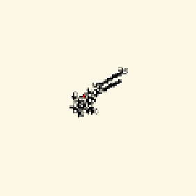 CCCCCCCCSCC(CO[C@@H]1O[C@H](COC(C)=O)[C@@H](O[C@@H]2O[C@H](COC(C)=O)[C@H](OC(C)=O)[C@H](OC(C)=O)[C@H]2OC(C)=O)[C@H](OC(C)=O)[C@H]1OC(C)=O)CS(=O)(=O)CCCCCCCCCCC(=O)OC